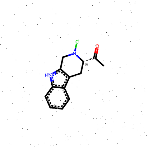 CC(=O)[C@@H]1Cc2c([nH]c3ccccc23)CN1Cl